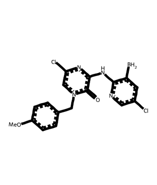 Bc1cc(Cl)cnc1Nc1nc(Cl)cn(Cc2ccc(OC)cc2)c1=O